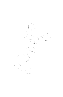 Cc1ccccc1B(c1ccccc1C)c1ccc2c3c(cccc13)Oc1cc(N(c3ccc4ccccc4c3)c3ccc4oc5ccccc5c4c3)ccc1-2